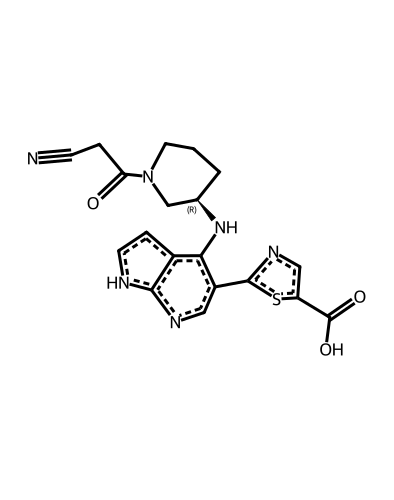 N#CCC(=O)N1CCC[C@@H](Nc2c(-c3ncc(C(=O)O)s3)cnc3[nH]ccc23)C1